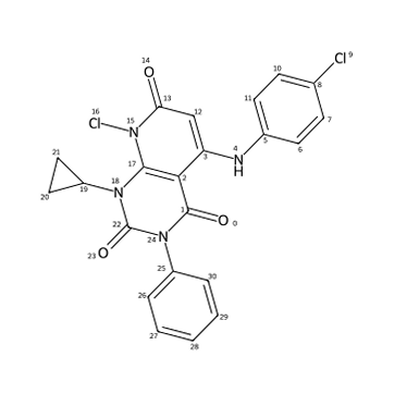 O=c1c2c(Nc3ccc(Cl)cc3)cc(=O)n(Cl)c2n(C2CC2)c(=O)n1-c1ccccc1